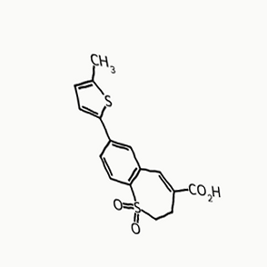 Cc1ccc(-c2ccc3c(c2)C=C(C(=O)O)CCS3(=O)=O)s1